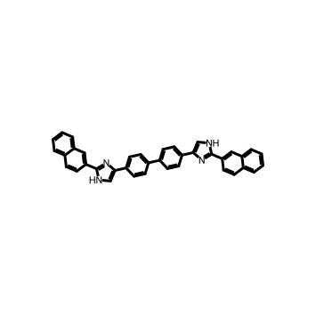 c1ccc2cc(-c3nc(-c4ccc(-c5ccc(-c6c[nH]c(-c7ccc8ccccc8c7)n6)cc5)cc4)c[nH]3)ccc2c1